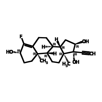 C#C[C@]1(O)[C@H](O)C[C@H]2[C@@H]3CCC4=C(F)[C@@H](O)CC[C@]4(C)[C@H]3CC[C@@]21C